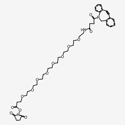 O=C(CCC(=O)N1Cc2ccccc2C#Cc2ccccc21)NCCOCCOCCOCCOCCOCCOCCOCCOCCC(=O)ON1C(=O)CCC1=O